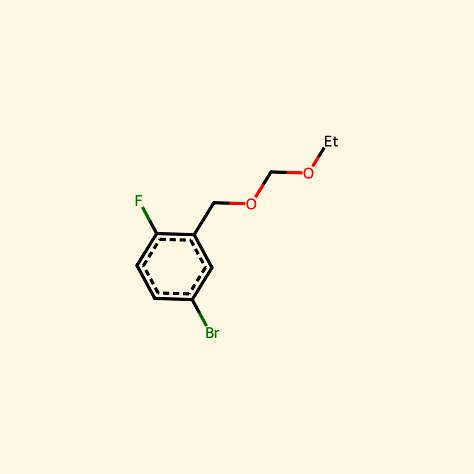 CCOCOCc1cc(Br)ccc1F